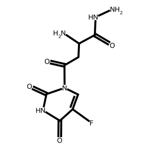 NNC(=O)C(N)CC(=O)n1cc(F)c(=O)[nH]c1=O